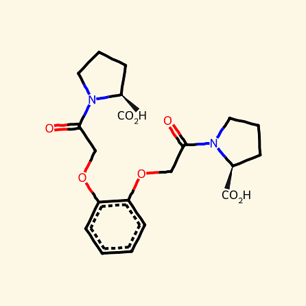 O=C(O)[C@@H]1CCCN1C(=O)COc1ccccc1OCC(=O)N1CCC[C@H]1C(=O)O